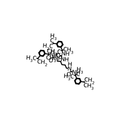 C=C(C)c1cccc(C(C)(C)NC(=O)NCCCC(CNC(=O)NC(C)(C)c2cccc(C(=C)C)c2)NC(=O)NC(C)(C)c2cccc(C(=C)C)c2)c1